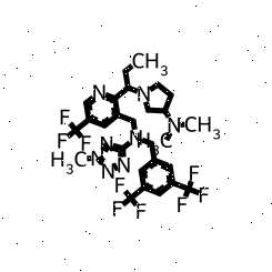 CCC(c1ncc(C(F)(F)F)cc1CN(Cc1cc(C(F)(F)F)cc(C(F)(F)F)c1)c1nnn(C)n1)N1CCC(N(C)C)C1